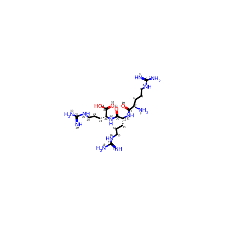 N=C(N)NCCC[C@@H](N)C(=O)N[C@H](CCCNC(=N)N)C(=O)N[C@H](CCCNC(=N)N)C(=O)O